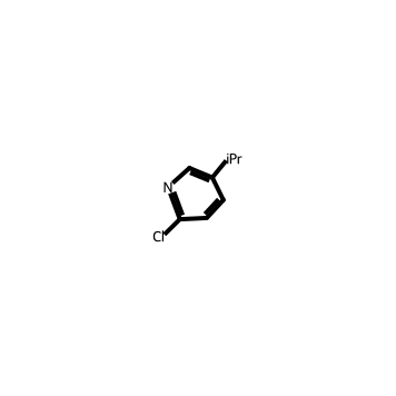 [CH2]C(C)c1ccc(Cl)nc1